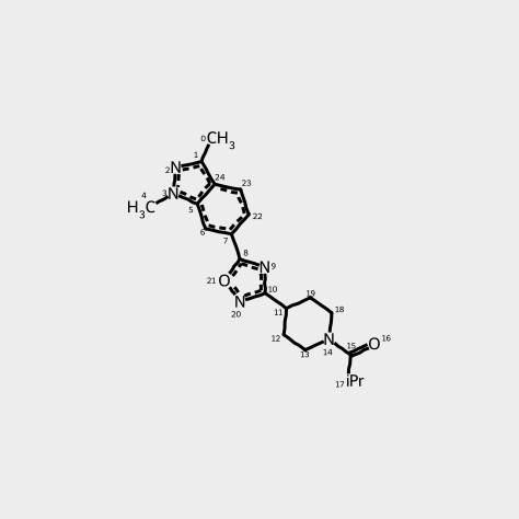 Cc1nn(C)c2cc(-c3nc(C4CCN(C(=O)C(C)C)CC4)no3)ccc12